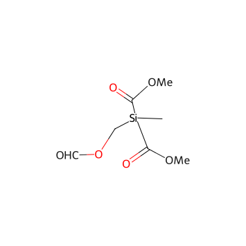 COC(=O)[Si](C)(COC=O)C(=O)OC